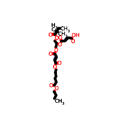 CCCCOC(=O)CCCCCOC(=O)/C=C/C(=O)OCC(COC(=O)C(C)(C)CC)OC(=O)/C=C/C(=O)O